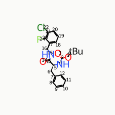 CC(C)(C)OC(=O)N[C@@H](Cc1ccccc1)C(=O)NCc1cccc(Cl)c1F